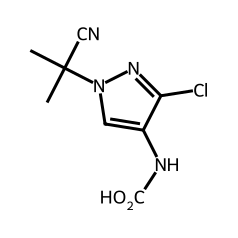 CC(C)(C#N)n1cc(NC(=O)O)c(Cl)n1